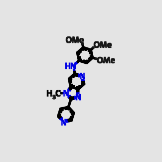 COc1cc(Nc2cc3c(cn2)nc(-c2ccncc2)n3C)cc(OC)c1OC